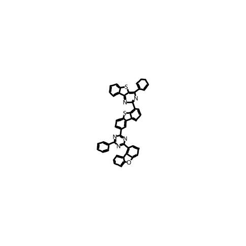 C1=CC(c2nc(-c3cccc4c3sc3ccc(-c5nc(-c6ccccc6)nc(-c6cccc7oc8ccccc8c67)n5)cc34)nc3c2sc2ccccc23)=CCC1